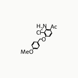 COc1ccc(COc2ccc(C(C)=O)c(N)c2Cl)cc1